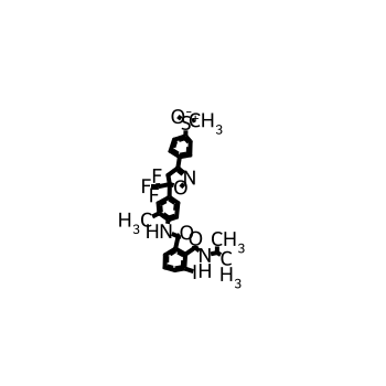 Cc1cc(C2(C(F)(F)F)CC(c3ccc([S+](C)[O-])cc3)=NO2)ccc1NC(=O)c1cccc(I)c1C(=O)NC(C)C